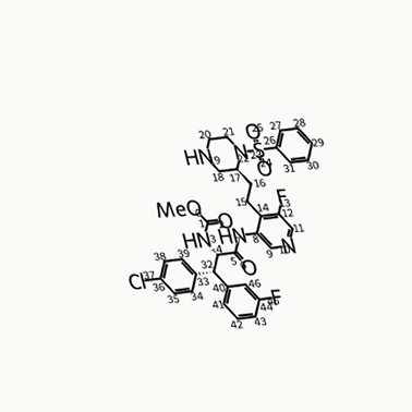 COC(=O)N[C@H](C(=O)Nc1cncc(F)c1CC[C@H]1CNCCN1S(=O)(=O)c1ccccc1)[C@@H](c1ccc(Cl)cc1)c1cccc(F)c1